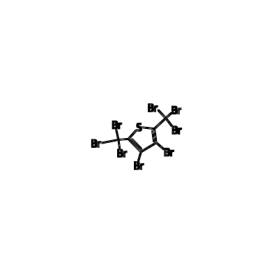 Brc1c(C(Br)(Br)Br)sc(C(Br)(Br)Br)c1Br